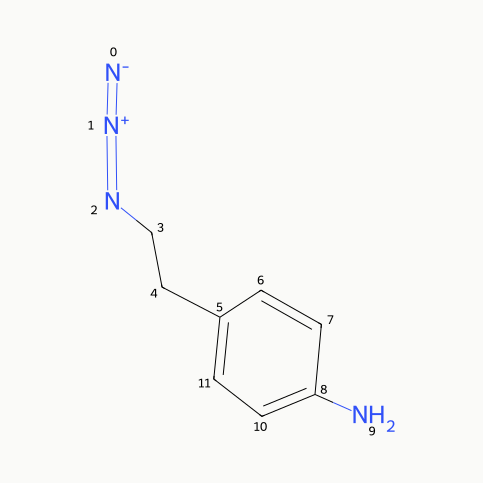 [N-]=[N+]=NCCc1ccc(N)cc1